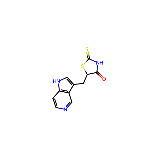 O=C1NC(=S)SC1Cc1c[nH]c2ccncc12